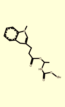 CC(NC(=O)OC(C)(C)C)OC(=O)CCC1=CN(C)c2ccccc2C1